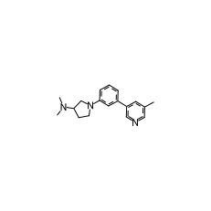 Cc1cncc(-c2cccc(N3CCC(N(C)C)C3)c2)c1